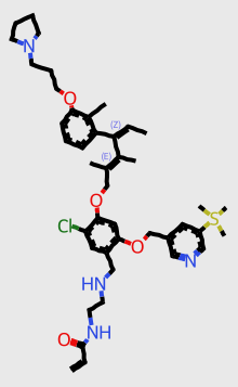 C=CC(=O)NCCNCc1cc(Cl)c(OC/C(C)=C(C)/C(=C\C)c2cccc(OCCCN3CCCC3)c2C)cc1OCc1cncc(S(C)(C)C)c1